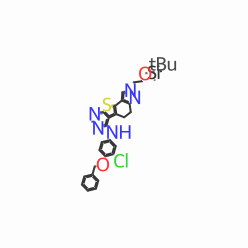 CC(C)(C)[Si](C)(C)OCCn1cc2c(n1)CCc1c-2sc2ncnc(Nc3ccc(OCc4ccccc4)c(Cl)c3)c12